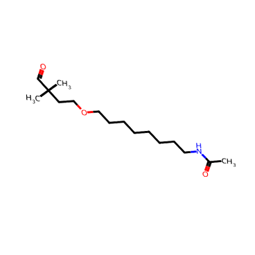 CC(=O)NCCCCCCCCOCCC(C)(C)C=O